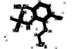 CS(=O)(=O)Nc1c(C(=O)O)ccc(Br)c1OCC(F)(F)F